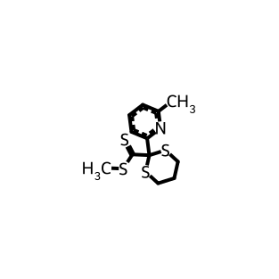 CSC(=S)C1(c2cccc(C)n2)SCCCS1